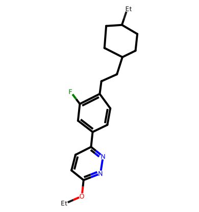 CCOc1ccc(-c2ccc(CCC3CCC(CC)CC3)c(F)c2)nn1